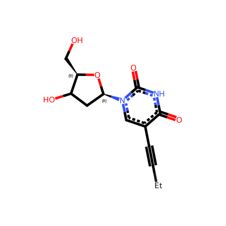 CCC#Cc1cn([C@H]2CC(O)[C@@H](CO)O2)c(=O)[nH]c1=O